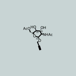 C#CCO[C@H]1O[C@H](COC(C)=O)[C@@H](O)[C@H](O)[C@H]1NC(C)=O